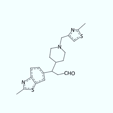 Cc1nc(CN2CCC(C(CC=O)c3ccc4nc(C)sc4c3)CC2)cs1